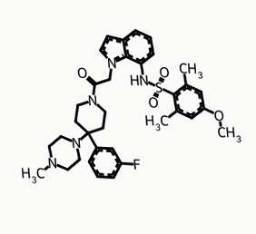 COc1cc(C)c(S(=O)(=O)Nc2cccc3ccn(CC(=O)N4CCC(c5cccc(F)c5)(N5CCN(C)CC5)CC4)c23)c(C)c1